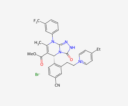 CCc1cc[n+](CCc2cc(C#N)ccc2[C@@H]2C(C(=O)OC)=C(C)N(c3cccc(C(F)(F)F)c3)c3n[nH]c(=O)n32)cc1.[Br-]